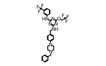 FC(F)(F)COc1nc(NCc2ccc(N3CCN(Cc4ccccc4)CC3)cc2)nc(Nc2cccc(C(F)(F)F)c2)n1